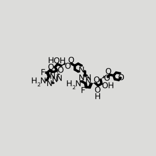 N#C[C@@]1(c2cc(F)c3c(N)ncnn23)O[C@H](COC(=O)C2CCN(Cc3nc(N)c4c(F)cc([C@@H]5O[C@H](COC(=O)C6CCOCC6)[C@@H](O)[C@H]5O)n4n3)CC2)[C@@H](O)[C@H]1O